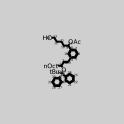 CCCCCCCCC(/C=C/c1cccc(C(CCCCO)OC(C)=O)c1)O[Si](c1ccccc1)(c1ccccc1)C(C)(C)C